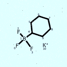 F[B-](F)(F)C1CCCCC1.[K+]